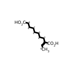 CC=C(CCCCCCCC(=O)O)C(=O)O